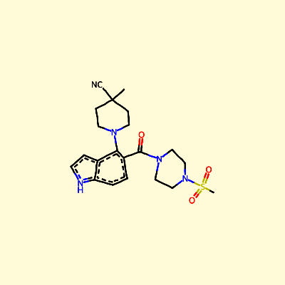 CC1(C#N)CCN(c2c(C(=O)N3CCN(S(C)(=O)=O)CC3)ccc3[nH]ccc23)CC1